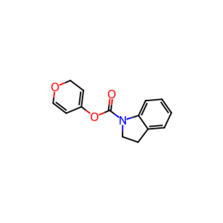 O=C(OC1=CCOC=C1)N1CCc2ccccc21